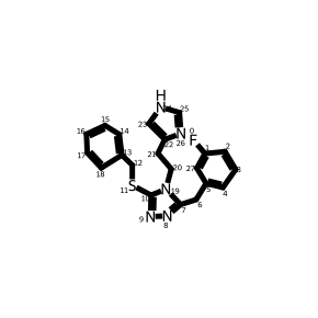 Fc1cccc(Cc2nnc(SCc3ccccc3)n2CCc2c[nH]cn2)c1